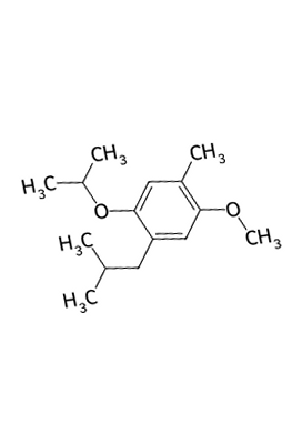 COc1cc(CC(C)C)c(OC(C)C)cc1C